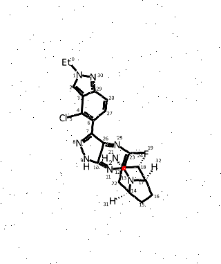 CCn1cc2c(Cl)c(-c3n[nH]c4nc(N5[C@H]6CC[C@@H]5[C@@H](F)[C@@H](N)C6)c(C)nc34)ccc2n1